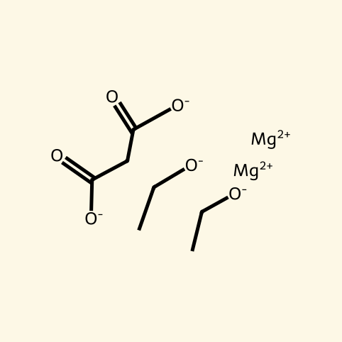 CC[O-].CC[O-].O=C([O-])CC(=O)[O-].[Mg+2].[Mg+2]